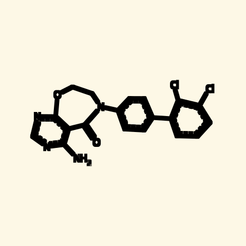 Nc1ncnc2c1C(=O)N(c1ccc(-c3cccc(Cl)c3Cl)cc1)CCO2